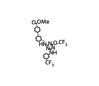 COC(=O)c1ccc(-c2cccc(CNc3nc(Nc4cccc(C(F)(F)F)c4)nc(OCC(F)(F)F)n3)c2)cc1